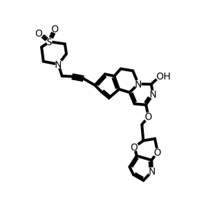 O=S1(=O)CCN(CC#Cc2ccc3c(c2)CCN2C3=CC(OCC3COc4ncccc4O3)=NC2O)CC1